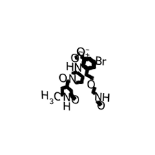 CC1CC(C(=O)N2CCCC(Nc3c(CCOCCNC=O)cc(Br)cc3[N+](=O)[O-])C2)CC(=O)N1